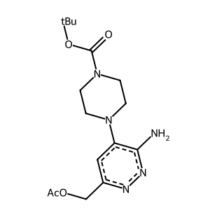 CC(=O)OCc1cc(N2CCN(C(=O)OC(C)(C)C)CC2)c(N)nn1